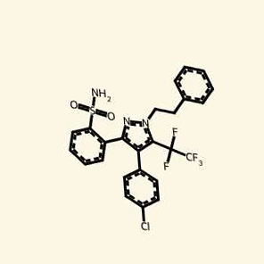 NS(=O)(=O)c1ccccc1-c1nn(CCc2ccccc2)c(C(F)(F)C(F)(F)F)c1-c1ccc(Cl)cc1